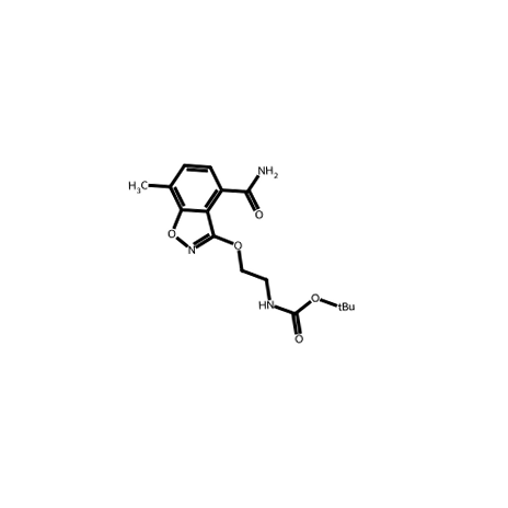 Cc1ccc(C(N)=O)c2c(OCCNC(=O)OC(C)(C)C)noc12